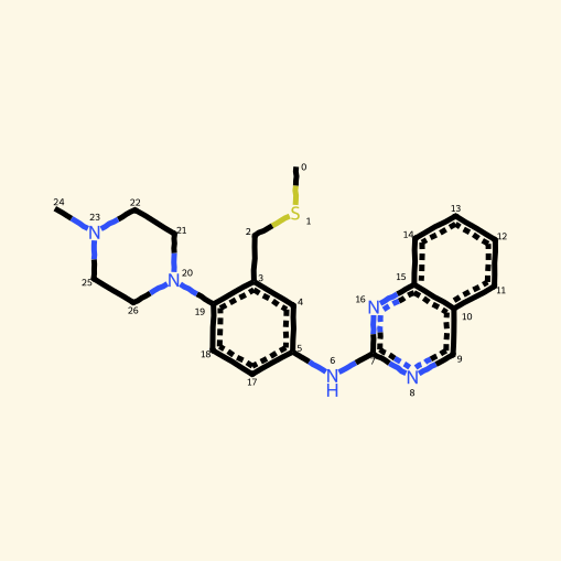 CSCc1cc(Nc2ncc3ccccc3n2)ccc1N1CCN(C)CC1